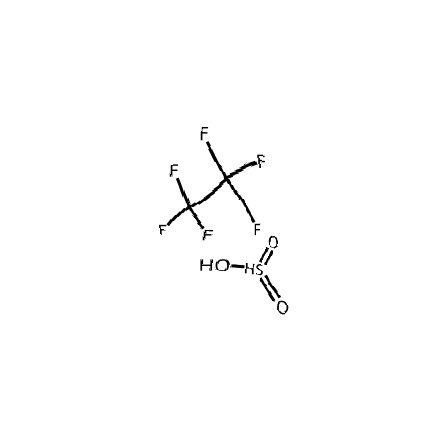 FC(F)(F)C(F)(F)F.O=[SH](=O)O